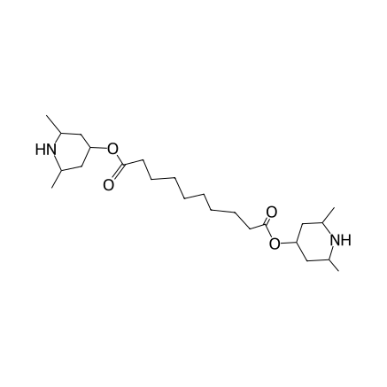 CC1CC(OC(=O)CCCCCCCCC(=O)OC2CC(C)NC(C)C2)CC(C)N1